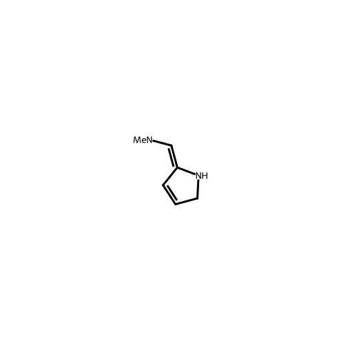 CN/C=C1\C=CCN1